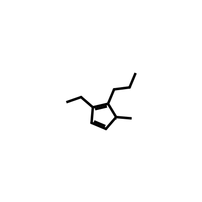 CCCC1=C(CC)C=C[C]1C